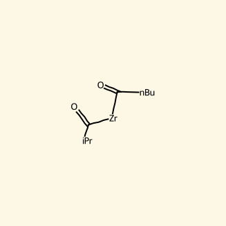 CCCC[C](=O)[Zr][C](=O)C(C)C